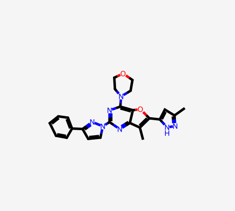 Cc1cc(-c2oc3c(N4CCOCC4)nc(-n4ccc(-c5ccccc5)n4)nc3c2C)[nH]n1